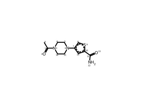 CC(=O)N1CCN(c2csc(C(N)=O)c2)CC1